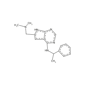 CC(Nc1ncnc2[nH]c(CN(C)C)cc12)c1ccccc1